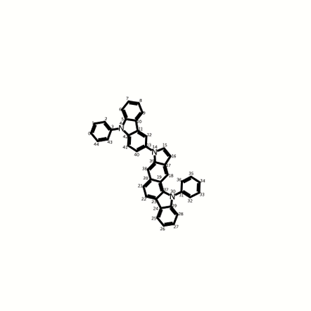 c1ccc(-n2c3ccccc3c3cc(-n4ccc5cc6c(ccc7c8ccccc8n(-c8ccccc8)c67)cc54)ccc32)cc1